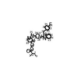 CCC(C)C(=O)OCOc1ccnc(N(C)C2CCN(c3nc4ccccc4n3Cc3ccc(F)cc3)CC2)n1